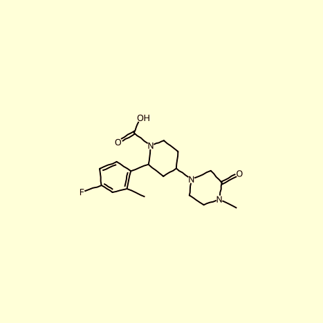 Cc1cc(F)ccc1C1CC(N2CCN(C)C(=O)C2)CCN1C(=O)O